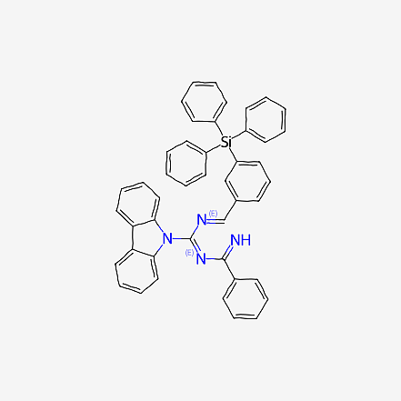 N=C(/N=C(\N=C\c1cccc([Si](c2ccccc2)(c2ccccc2)c2ccccc2)c1)n1c2ccccc2c2ccccc21)c1ccccc1